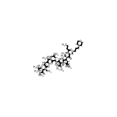 CCCC(=O)N(C)[C@H](CSCCCN1CCOCC1)C(=O)N(C)[C@@H](CC(C)(C)O)C(=O)N[C@H](C(=O)N(C)[C@@H](CC(C)C)C(=O)N[C@H](C)C(=O)N[C@@H](C)C(=O)N(C)[C@@H](CC(C)C)C(=O)NC)C(C)C